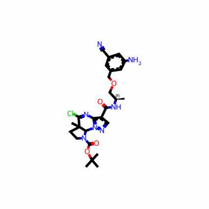 C[C@H](COCc1cc(N)cc(C#N)c1)NC(=O)c1cnn2c1N=C(Cl)C1(C)CCN(C(=O)OC(C)(C)C)C21